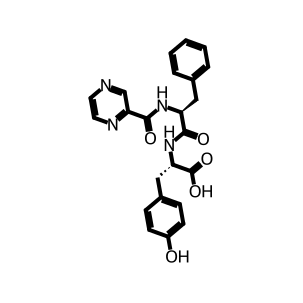 O=C(N[C@@H](Cc1ccccc1)C(=O)N[C@@H](Cc1ccc(O)cc1)C(=O)O)c1cnccn1